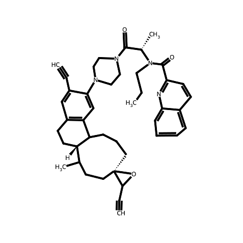 C#Cc1cc2c(cc1N1CCN(C(=O)[C@H](C)N(CCC)C(=O)c3ccc4ccccc4n3)CC1)C1CCC[C@]3(CCC(C)[C@@H]1CC2)OC3C#C